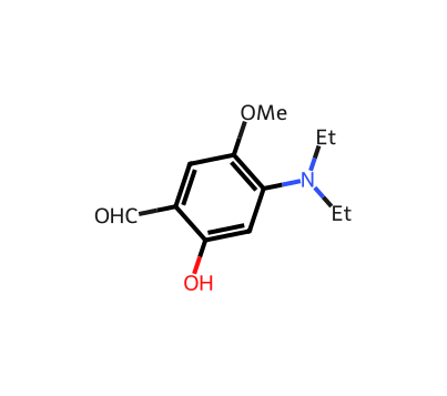 CCN(CC)c1cc(O)c(C=O)cc1OC